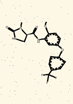 COc1ccc(Oc2ccc(C(F)(F)F)cc2)cc1NC(=O)[C@H]1CNC(=O)N1C